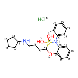 Cl.OS1(O)C(CCCNC2CCCC2)Oc2ccccc2N1c1ccccc1